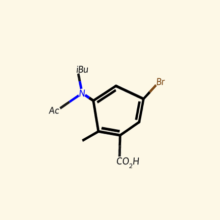 CCC(C)N(C(C)=O)c1cc(Br)cc(C(=O)O)c1C